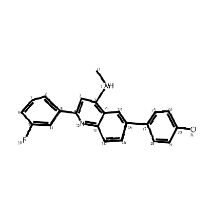 CNc1cc(-c2cccc(F)c2)nc2ccc(-c3ccc(Cl)cc3)cc12